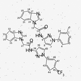 Cc1cccc(-n2ccc(NC(=O)Cn3cnc4ccccc43)n2)c1.O=C(Cn1cnc2ccccc21)Nc1ccn(-c2ccc(C(F)(F)F)cc2)n1